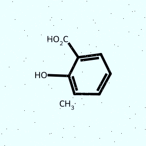 O=C(O)c1ccccc1O.[CH3]